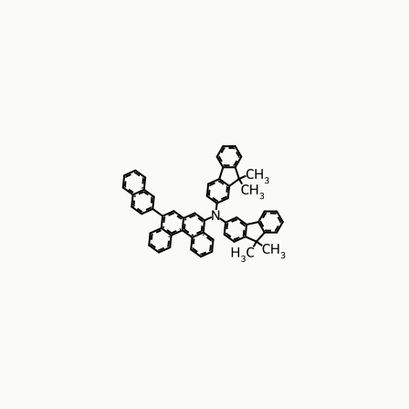 CC1(C)c2ccccc2-c2cc(N(c3ccc4c(c3)C(C)(C)c3ccccc3-4)c3cc4cc(-c5ccc6ccccc6c5)c5ccccc5c4c4ccccc34)ccc21